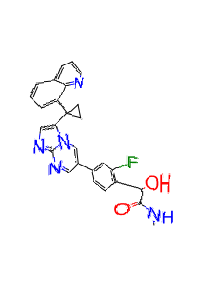 CNC(=O)C(O)c1ccc(-c2cnc3ncc(C4(c5cccc6cccnc56)CC4)n3c2)cc1F